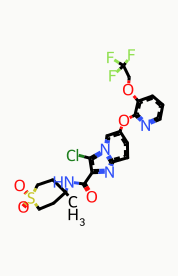 CC1(NC(=O)c2nc3ccc(Oc4ncccc4OCC(F)(F)F)cn3c2Cl)CCS(=O)(=O)CC1